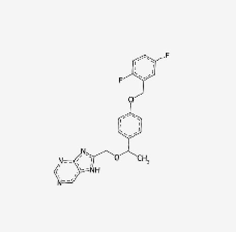 CC(OCc1nc2ncncc2[nH]1)c1ccc(OCc2cc(F)ccc2F)cc1